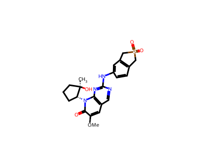 COc1cc2cnc(Nc3ccc4c(c3)CS(=O)(=O)C4)nc2n([C@@H]2CCC[C@@]2(C)O)c1=O